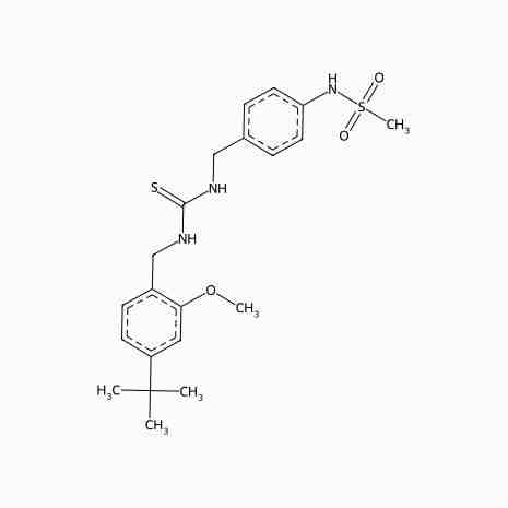 COc1cc(C(C)(C)C)ccc1CNC(=S)NCc1ccc(NS(C)(=O)=O)cc1